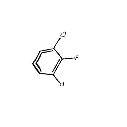 FC1=C(Cl)C=C=C=C1Cl